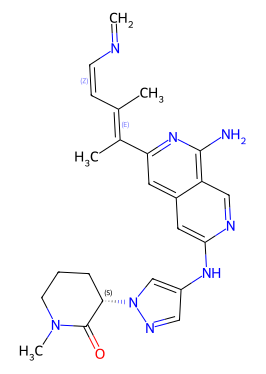 C=N/C=C\C(C)=C(/C)c1cc2cc(Nc3cnn([C@H]4CCCN(C)C4=O)c3)ncc2c(N)n1